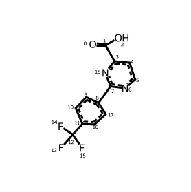 O=C(O)c1ccnc(-c2ccc(C(F)(F)F)cc2)n1